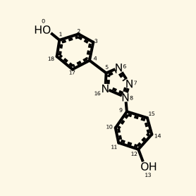 Oc1ccc(-c2nnn(-c3ccc(O)cc3)n2)cc1